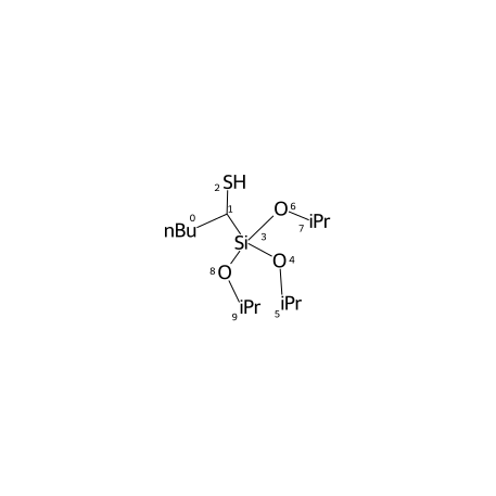 CCCCC(S)[Si](OC(C)C)(OC(C)C)OC(C)C